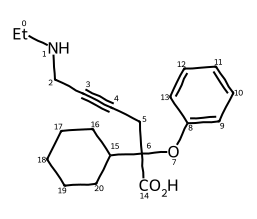 CCNCC#CCC(Oc1ccccc1)(C(=O)O)C1CCCCC1